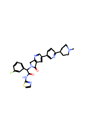 CN1CCC(c2ccc(-c3cnc4c(c3)C(=O)N(C(C(=O)Nc3nccs3)c3cccc(F)c3)C4)cn2)CC1